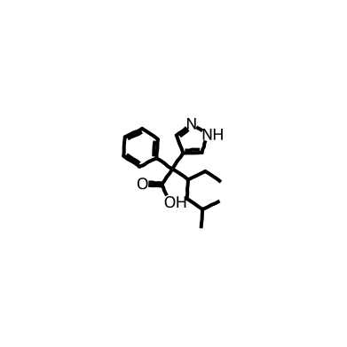 CCC(CC(C)C)C(C(=O)O)(c1ccccc1)c1cn[nH]c1